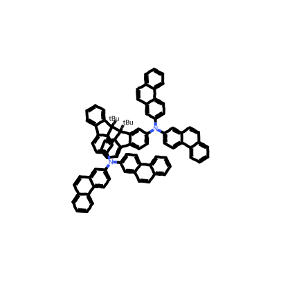 CC(C)(C)C1(C2(C(C)(C)C)c3ccccc3-c3ccc(N(c4ccc5c(ccc6ccccc65)c4)c4ccc5c(ccc6ccccc65)c4)cc32)c2ccccc2-c2ccc(N(c3ccc4c(ccc5ccccc54)c3)c3ccc4c(ccc5ccccc54)c3)cc21